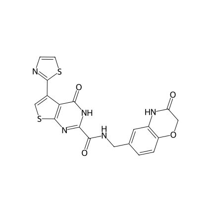 O=C1COc2ccc(CNC(=O)c3nc4scc(-c5nccs5)c4c(=O)[nH]3)cc2N1